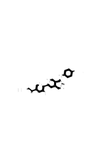 OCC(O)c1cnc(-c2cc3cnnc(Nc4ccc(C(F)(F)F)cc4)c3cn2)c(F)c1